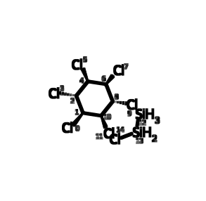 Cl[C@H]1[C@H](Cl)[C@@H](Cl)[C@@H](Cl)[C@H](Cl)[C@H]1Cl.[SiH3][SiH2]Cl